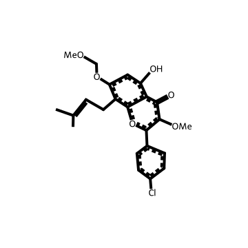 COCOc1cc(O)c2c(=O)c(OC)c(-c3ccc(Cl)cc3)oc2c1CC=C(C)C